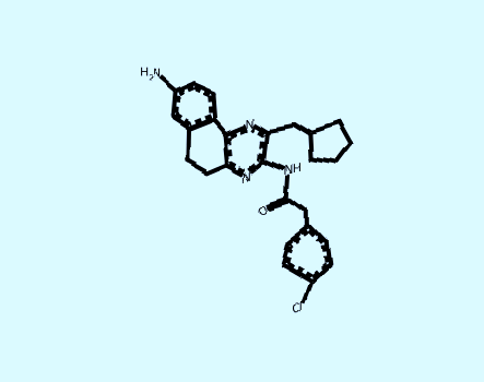 Nc1ccc2c(c1)CCc1nc(NC(=O)Cc3ccc(Cl)cc3)c(CC3CCCC3)nc1-2